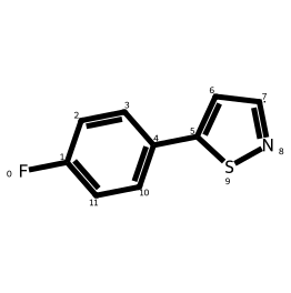 Fc1ccc(-c2c[c]ns2)cc1